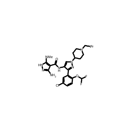 CNc1[nH]nc(N)c1C(=O)Nc1cn(C2CCN(CC(C)C)CC2)nc1-c1cc(Cl)ccc1OC(F)F